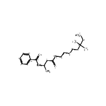 CC(CC(=O)NCCSCCC(C)(C)CC(=O)O)NC(=O)c1ccccc1